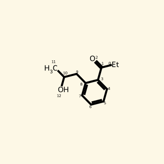 CCC(=O)c1ccccc1CC(C)O